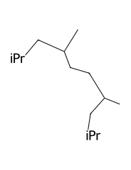 CC(C)CC(C)CCC(C)CC(C)C